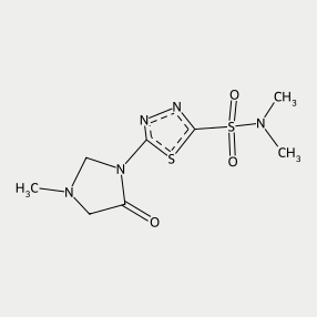 CN1CC(=O)N(c2nnc(S(=O)(=O)N(C)C)s2)C1